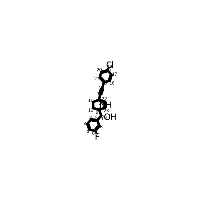 O[C@H](c1cccc(F)c1)C12CCC(C#Cc3ccc(Cl)cc3)(CC1)N2